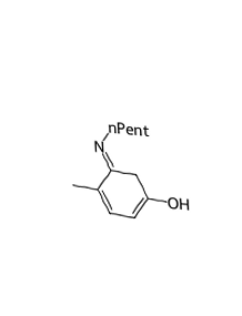 CCCCC/N=C1\CC(O)=CC=C1C